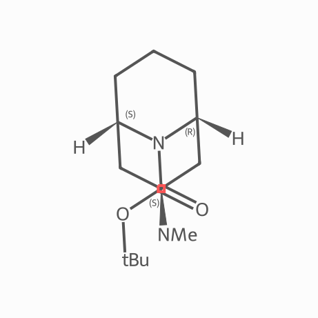 CN[C@@H]1C[C@H]2CCC[C@@H](C1)N2C(=O)OC(C)(C)C